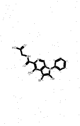 O=C(O)CNC(=O)c1ncc2c(c1O)c(Br)c(Br)n2-c1ccccc1